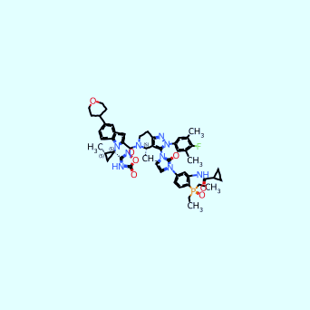 CCP(=O)(CC)c1ccc(-n2ccn(-c3c4c(nn3-c3cc(C)c(F)c(C)c3)CCN(C(=O)c3cc5cc(C6CCOCC6)ccc5n3[C@@]3(c5noc(=O)[nH]5)C[C@@H]3C)[C@H]4C)c2=O)cc1NC(=O)C1CC1